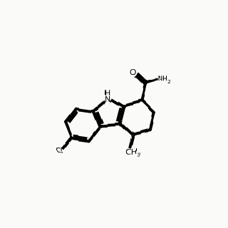 CC1CCC(C(N)=O)c2[nH]c3ccc(Cl)cc3c21